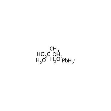 CC(=O)O.O.O.O.[PbH2]